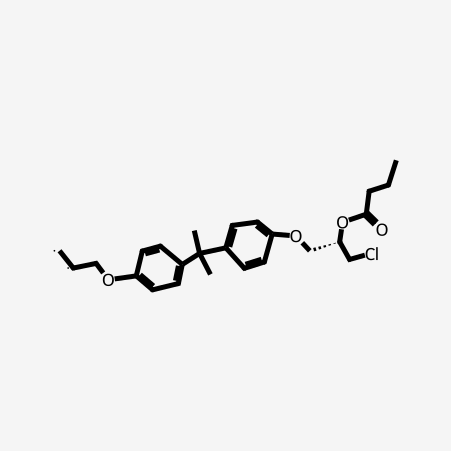 [CH2][CH]COc1ccc(C(C)(C)c2ccc(OC[C@@H](CCl)OC(=O)CCC)cc2)cc1